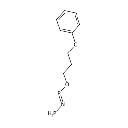 PN=POCCCOc1ccccc1